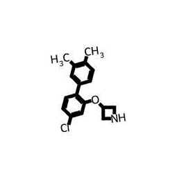 Cc1ccc(-c2ccc(Cl)cc2OC2CNC2)cc1C